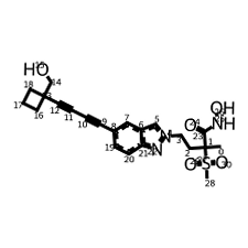 CC(CCn1cc2cc(C#CC#CC3(CO)CCC3)ccc2n1)(C(=O)NO)S(C)(=O)=O